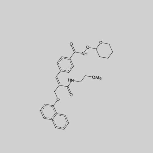 COCCNC(=O)C(=Cc1ccc(C(=O)NOC2CCCCO2)cc1)COc1cccc2ccccc12